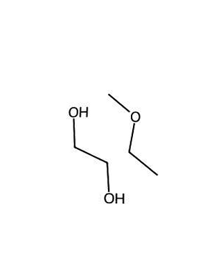 CCOC.OCCO